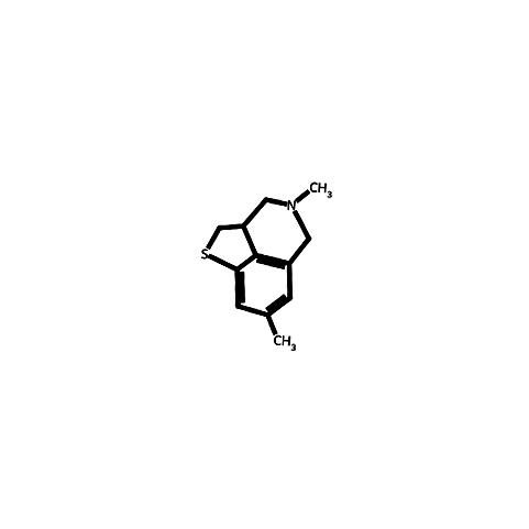 Cc1cc2c3c(c1)SCC3CN(C)C2